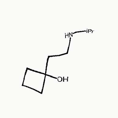 CC(C)NCCC1(O)CCC1